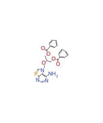 Nc1ncnc2pcn(COC(COC(=O)c3ccccc3)COC(=O)c3ccccc3)c12